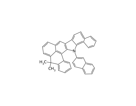 CC1(C)c2ccccc2-c2c3c1cccc3cc1c3ccc4ccccc4c3n(-c3ccc4ccccc4c3)c21